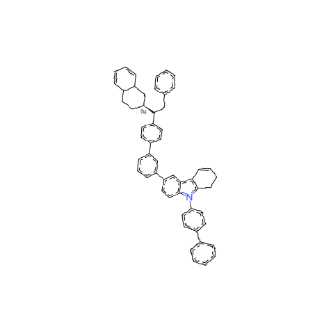 C1=CC2CC[C@H](C(Cc3ccccc3)c3ccc(-c4cccc(-c5ccc6c(c5)c5c(n6-c6ccc(-c7ccccc7)cc6)CCC=C5)c4)cc3)CC2C=C1